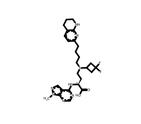 Cn1ncc2c(N[C@@H](CCN(CCCCc3ccc4c(n3)NCCC4)C3CC(F)(F)C3)C(=O)O)ncnc21